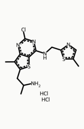 Cc1cnc(CNc2nc(Cl)nc3c(C)c(CC(C)N)sc23)s1.Cl.Cl